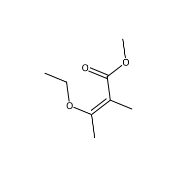 CCOC(C)=C(C)C(=O)OC